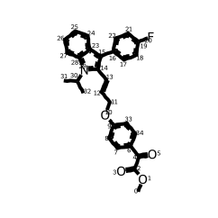 COC(=O)C(=O)c1ccc(OCC=Cc2c(-c3ccc(F)cc3)c3ccccc3n2C(C)C)cc1